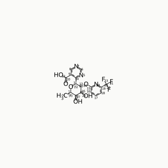 C[C@H]1O[C@@H](c2ncncc2C(=O)O)[C@H](Oc2cccc(C(F)(F)F)n2)[C@@H](O)[C@H]1O